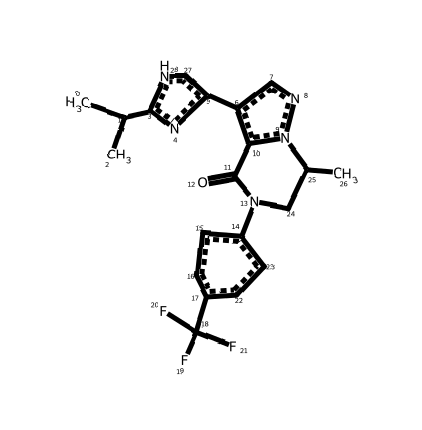 CC(C)c1nc(-c2cnn3c2C(=O)N(c2ccc(C(F)(F)F)cc2)CC3C)c[nH]1